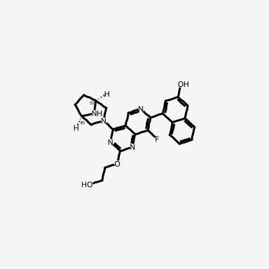 OCCOc1nc(N2C[C@H]3CC[C@@H](C2)N3)c2cnc(-c3cc(O)cc4ccccc34)c(F)c2n1